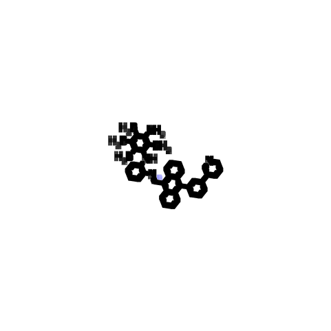 Bc1c(B)c(B)c(Nc2ccccc2/N=C/c2c3ccccc3c(-c3cccc(-c4cccnc4)c3)c3ccccc23)c(B)c1B